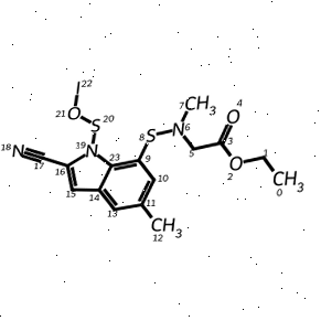 CCOC(=O)CN(C)Sc1cc(C)cc2cc(C#N)n(SOI)c12